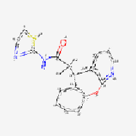 CC(C)(C(=O)Nc1nccs1)C1c2ccccc2Oc2ncccc21